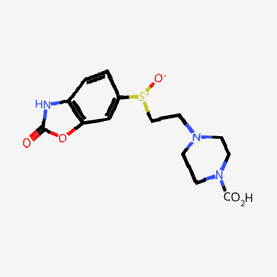 O=C(O)N1CCN(CC[S+]([O-])c2ccc3[nH]c(=O)oc3c2)CC1